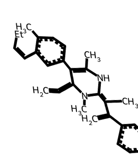 C=C=C1C(c2ccc(C)c(/C=C\CC)c2)=C(C)N/C(=C(\C)C(=C)c2ccccc2)N1C